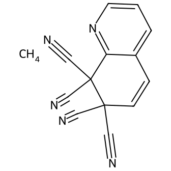 C.N#CC1(C#N)C=Cc2cccnc2C1(C#N)C#N